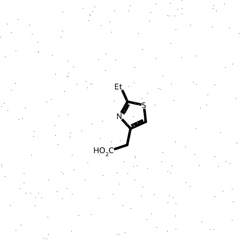 CCc1nc(CC(=O)O)cs1